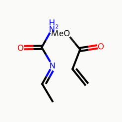 C=CC(=O)OC.CC=NC(N)=O